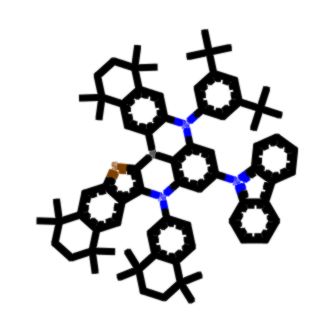 CC(C)(C)c1cc(N2c3cc4c(cc3B3c5sc6cc7c(cc6c5N(c5ccc6c(c5)C(C)(C)CCC6(C)C)c5cc(-n6c8ccccc8c8ccccc86)cc2c53)C(C)(C)CCC7(C)C)C(C)(C)CCC4(C)C)cc(C(C)(C)C)c1